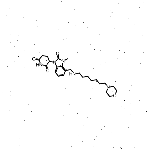 Cn1c(=O)n(C2CCC(=O)NC2=O)c2cccc(CNCCCCCCCN3CCOCC3)c21